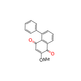 COC1=CC(=O)c2c(cccc2-c2ccccc2)C1=O